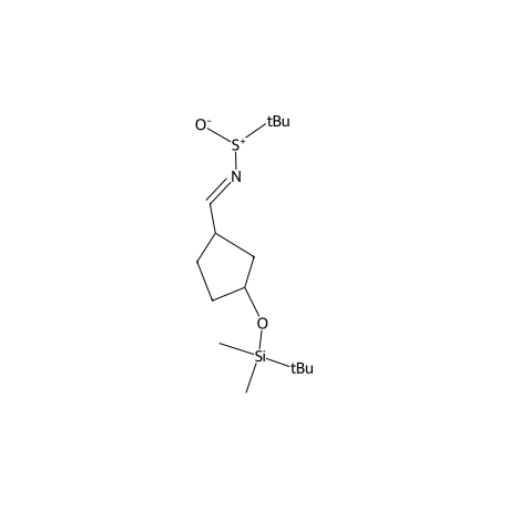 CC(C)(C)[S+]([O-])N=CC1CCC(O[Si](C)(C)C(C)(C)C)C1